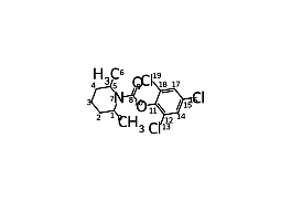 CC1CCCC(C)N1C(=O)Oc1c(Cl)cc(Cl)cc1Cl